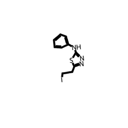 ICCc1nnc(Nc2ccccc2)s1